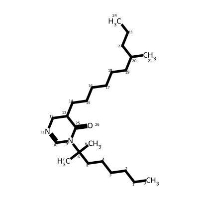 CCCCCCC(C)(C)N1C=NCC(CCCCCCC(C)CCC)C1=O